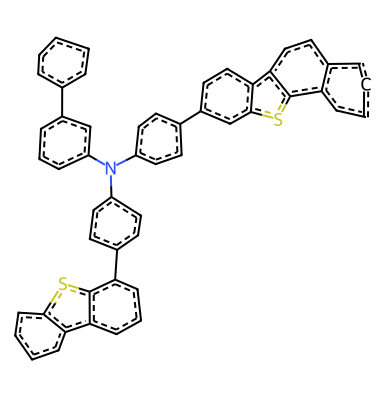 c1ccc(-c2cccc(N(c3ccc(-c4ccc5c(c4)sc4c6ccccc6ccc54)cc3)c3ccc(-c4cccc5c4sc4ccccc45)cc3)c2)cc1